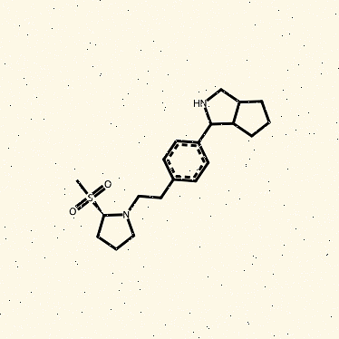 CS(=O)(=O)[C@@H]1CCCN1CCc1ccc(C2NCC3CCCC32)cc1